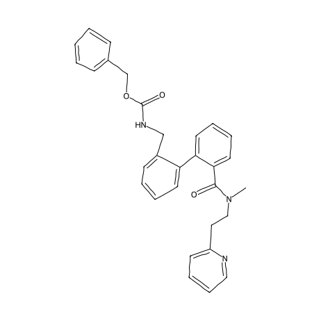 CN(CCc1ccccn1)C(=O)c1ccccc1-c1ccccc1CNC(=O)OCc1ccccc1